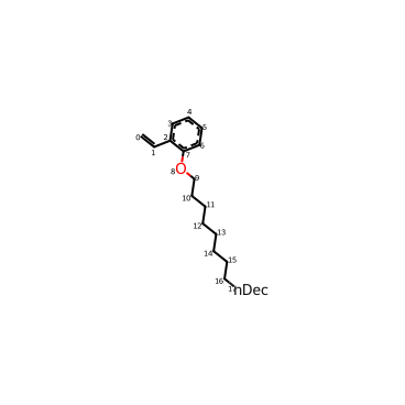 C=Cc1ccccc1OCCCCCCCCCCCCCCCCCC